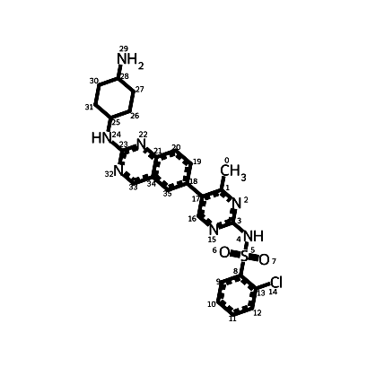 Cc1nc(NS(=O)(=O)c2ccccc2Cl)ncc1-c1ccc2nc(NC3CCC(N)CC3)ncc2c1